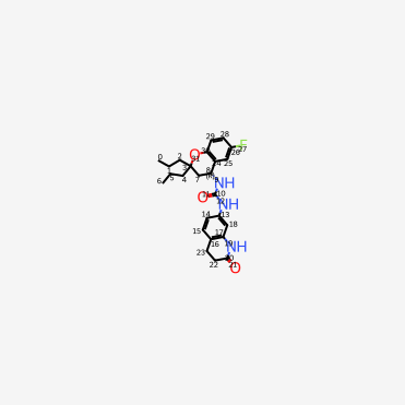 CCCC1(CCC)C[C@@H](NC(=O)Nc2ccc3c(c2)NC(=O)CC3)c2cc(F)ccc2O1